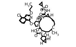 CCCOc1cc2c(Cl)cccc2c(O[C@@H]2C[C@H]3C(=O)N[C@]4(C(=O)NS(=O)(=O)C5CC5)C[C@H]4/C=C\CC[C@@H](C)C[C@@H](C)[C@H](N(C(=O)O)C4C[C@@H]5C[C@H]5C4)C(=O)N3C2)n1